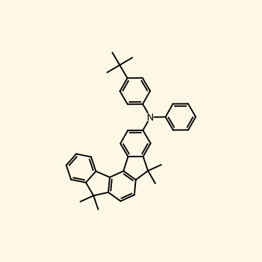 CC(C)(C)c1ccc(N(c2ccccc2)c2ccc3c(c2)C(C)(C)c2ccc4c(c2-3)-c2ccccc2C4(C)C)cc1